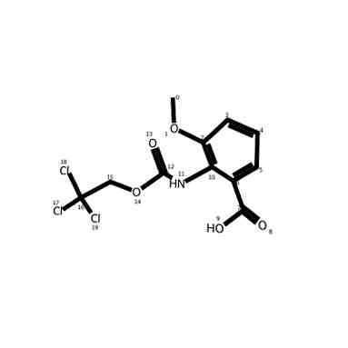 COc1cccc(C(=O)O)c1NC(=O)OCC(Cl)(Cl)Cl